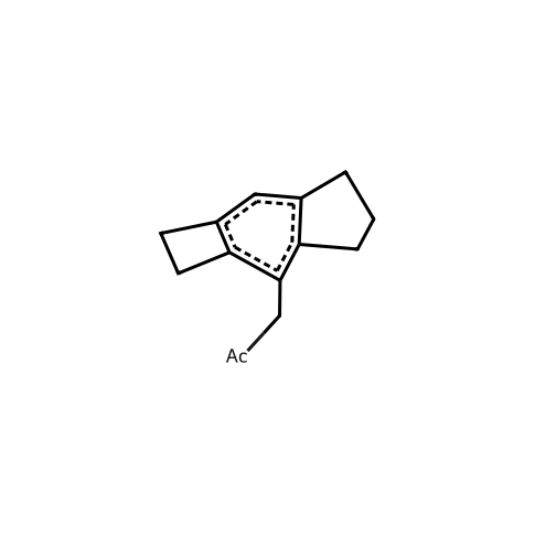 CC(=O)Cc1c2c(cc3c1CC3)CCC2